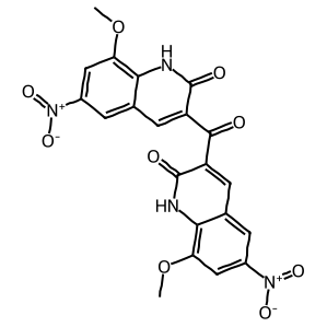 COc1cc([N+](=O)[O-])cc2cc(C(=O)c3cc4cc([N+](=O)[O-])cc(OC)c4[nH]c3=O)c(=O)[nH]c12